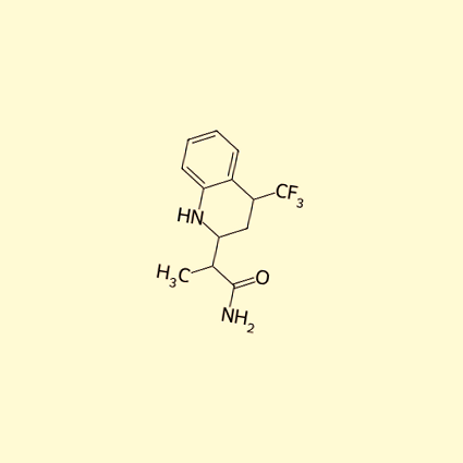 CC(C(N)=O)C1CC(C(F)(F)F)c2ccccc2N1